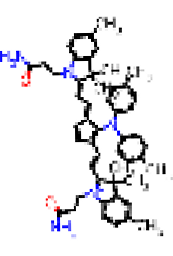 Cc1ccc(N(C2=C(/C=C/C3=[N+](CCC(N)=O)c4ccc(C)cc4C3(C)C)C=C/C2=C\C=C2\N(CCC(N)=O)c3ccc(C)cc3C2(C)C)c2ccc(C)cc2)cc1